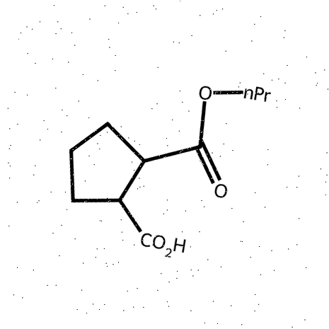 CCCOC(=O)C1CCCC1C(=O)O